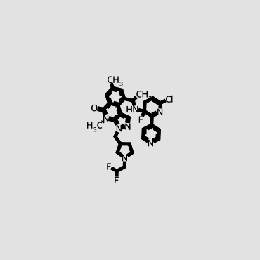 Cc1cc(C(C)NC2(F)CC=C(Cl)N=C2c2ccncc2)c2c(c1)c(=O)n(C)c1c2cnn1CC1CCN(CC(F)F)C1